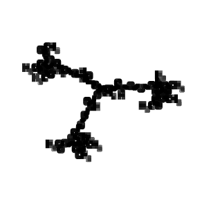 CC(=O)OCC1OC(OCCOCCOCCNC(=O)CCOCC(N)(COCCC(=O)NCCOCCOCCOC2OC(COC(C)=O)C(OC(C)=O)C(OC(C)=O)C2N)COCCC(=O)NCCOCCOCCOC2OC(COC(C)=O)C(OC(C)=O)C(OC(C)=O)C2N)C(N)C(OC(C)=O)C1OC(C)=O